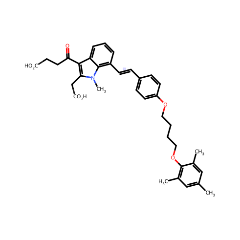 Cc1cc(C)c(OCCCCOc2ccc(/C=C/c3cccc4c(C(=O)CCC(=O)O)c(CC(=O)O)n(C)c34)cc2)c(C)c1